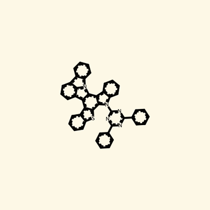 c1ccc(-c2nc(-c3ccccc3)nc(-n3c4ccccc4c4c3c3sc5ccccc5c3c3c5cccc6c7ccccc7n(c65)c34)n2)cc1